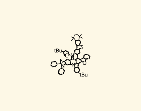 CC(C)(C)c1ccc(N2B3c4cc5nc(-c6ccccc6)n(-c6ccccc6)c5cc4-n4c5ccc(C(C)(C)C)cc5c5c6oc7ccccc7c6c(c3c54)-c3cc4sc5cc6c(cc5c4cc32)C(C)(C)CCC6(C)C)cc1